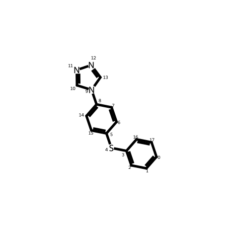 c1ccc(Sc2ccc(-n3cnnc3)cc2)cc1